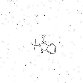 CC(C)(C)N1Sc2ccccc2[S+]1[O-]